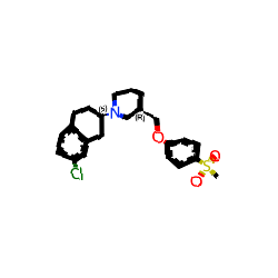 CS(=O)(=O)c1ccc(OC[C@@H]2CCCN([C@H]3CCc4ccc(Cl)cc4C3)C2)cc1